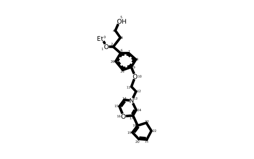 CCOC(CCO)c1ccc(OCCN2C=COC(C3=CC=CCC3)=C2)cc1